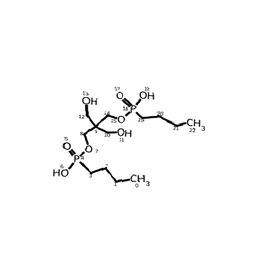 CCCCP(=O)(O)OCC(CO)(CO)COP(=O)(O)CCCC